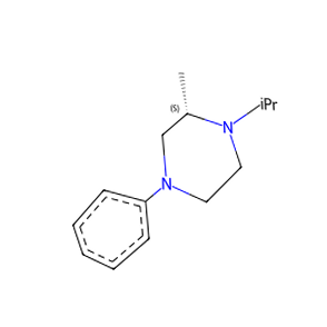 CC(C)N1CCN(c2ccccc2)C[C@@H]1C